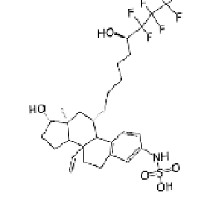 C=CC12CCc3cc(NS(=O)(=O)O)ccc3C1[C@@H](CCCCC[C@@H](O)C(F)(F)C(F)(F)C(F)(F)F)C[C@@]1(C)C2CC[C@@H]1O